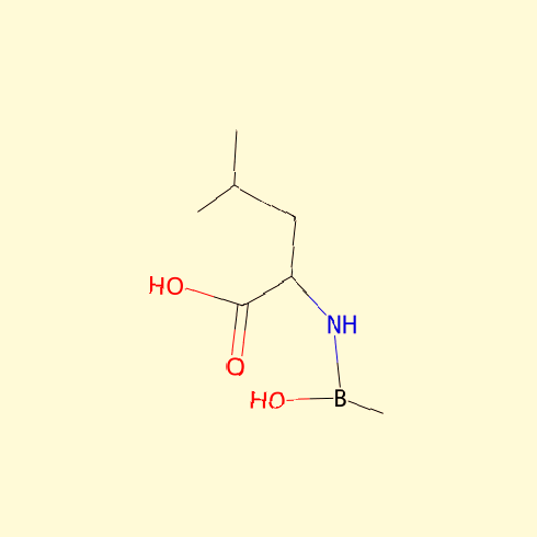 CB(O)NC(CC(C)C)C(=O)O